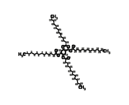 CCCCCCCCCCCCCC(=O)Oc1ccc(C(OC(=O)CCCCCCCCCCCCC)OC(=O)CCCCCCCCCCCCC)cc1OC(=O)CCCCCCCCCCCCC